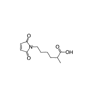 CC(CCCCN1C(=O)C=CC1=O)C(=O)O